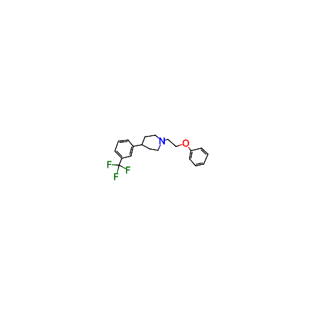 FC(F)(F)c1cccc(C2CCN(CCOc3ccccc3)CC2)c1